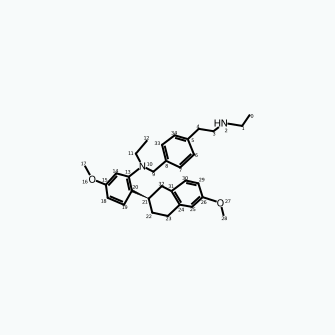 CCNCCc1ccc(CN(CC)c2cc(OC)ccc2[C@@H]2CCc3cc(OC)ccc3C2)cc1